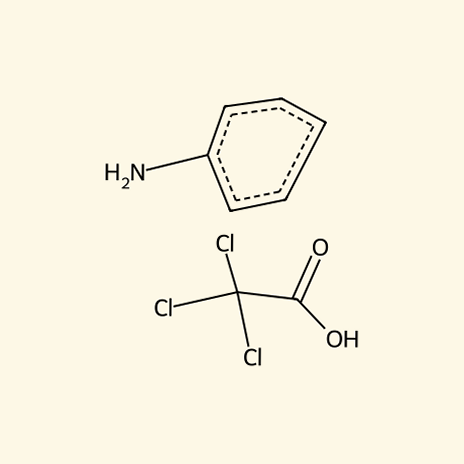 Nc1ccccc1.O=C(O)C(Cl)(Cl)Cl